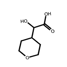 O=C(O)C(O)C1CCOCC1